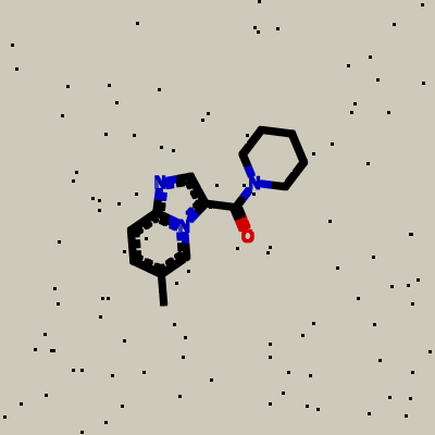 Cc1ccc2ncc(C(=O)N3CCCCC3)n2c1